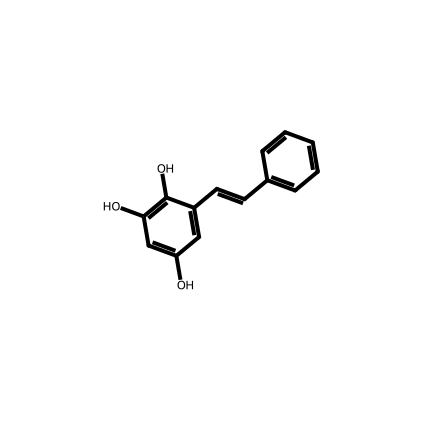 Oc1cc(O)c(O)c(C=Cc2ccccc2)c1